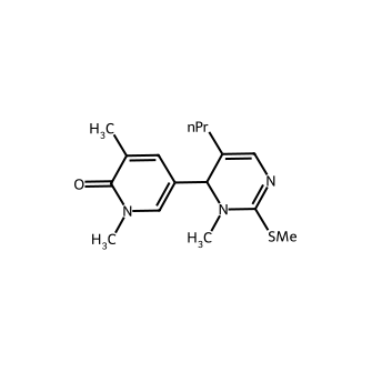 CCCC1=CN=C(SC)N(C)C1c1cc(C)c(=O)n(C)c1